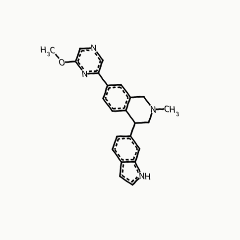 COc1cncc(-c2ccc3c(c2)CN(C)CC3c2ccc3cc[nH]c3c2)n1